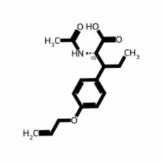 C=CCOc1ccc(C(CC)[C@H](NC(C)=O)C(=O)O)cc1